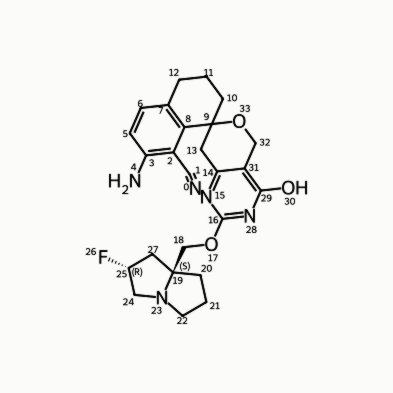 N#Cc1c(N)ccc2c1C1(CCC2)Cc2nc(OC[C@@]34CCCN3C[C@H](F)C4)nc(O)c2CO1